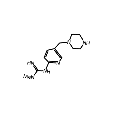 CNC(=N)Nc1ccc(CN2CCNCC2)cn1